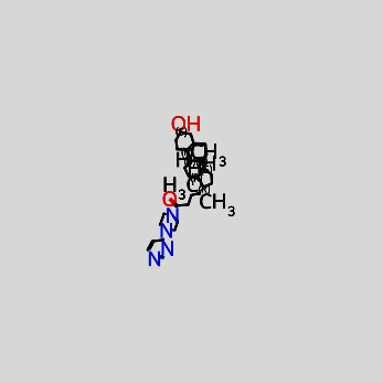 CC(CCC(=O)N1CCN(c2ccncn2)CC1)[C@H]1CC[C@H]2[C@@H]3CC=C4C[C@@H](O)CC[C@]4(C)[C@H]3CC[C@]12C